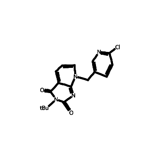 CC(C)(C)n1c(=O)nc2n(Cc3ccc(Cl)nc3)cccc-2c1=O